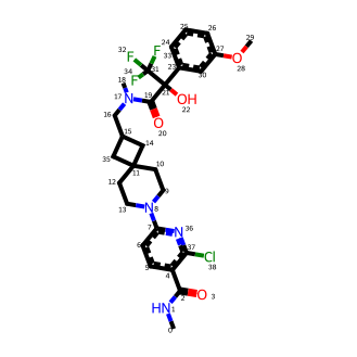 CNC(=O)c1ccc(N2CCC3(CC2)CC(CN(C)C(=O)C(O)(c2cccc(OC)c2)C(F)(F)F)C3)nc1Cl